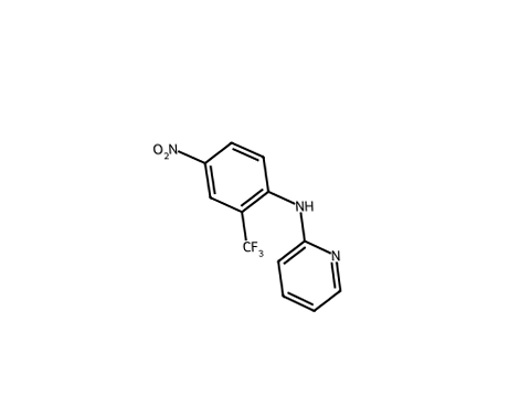 O=[N+]([O-])c1ccc(Nc2ccccn2)c(C(F)(F)F)c1